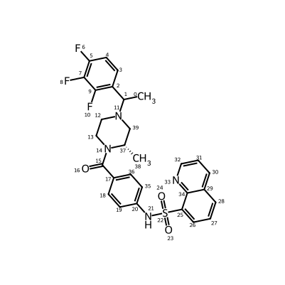 CC(c1ccc(F)c(F)c1F)N1CCN(C(=O)c2ccc(NS(=O)(=O)c3cccc4cccnc34)cc2)[C@@H](C)C1